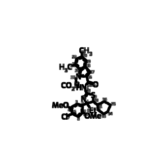 CCC1(c2cc(OC)c(Cl)cc2OC)N=C(NC(=O)c2cc3cc(C)cc(C)c3n2CC(=O)O)SC1C1CCCCC1